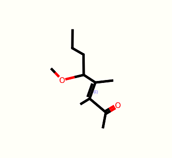 CCCC(OC)/C(C)=C(\C)C(C)=O